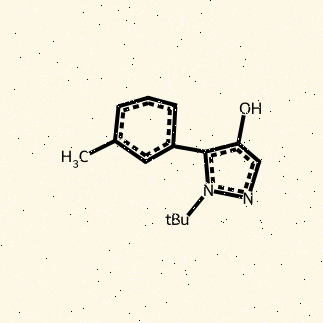 Cc1cccc(-c2c(O)cnn2C(C)(C)C)c1